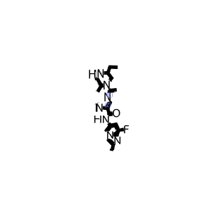 C=N/C(=C\N=C(/C)N1CC(CC)NCC1C)C(=O)Nc1cc(F)c2nc(C)cn2c1